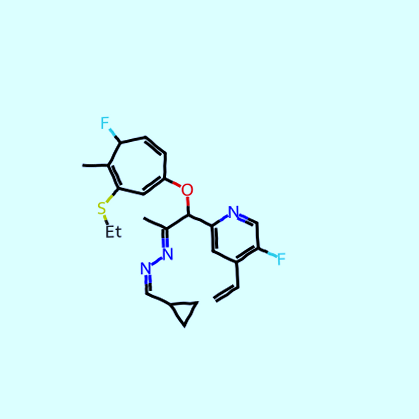 C=Cc1cc(C(OC2=CC(SCC)=C(C)C(F)C=C2)/C(C)=N/N=C\C2CC2)ncc1F